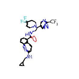 O=C(NCC(c1cnc(C(F)(F)F)nc1)N1CCC(F)(F)CC1)c1cccc2nc(NCC3CC3)ccc12